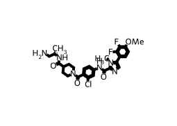 COc1ccc(-c2cnc(C(=O)Nc3ccc(C(=O)N4CCC(C(=O)N[C@@H](C)CN)CC4)c(Cl)c3)n2C)c(F)c1F